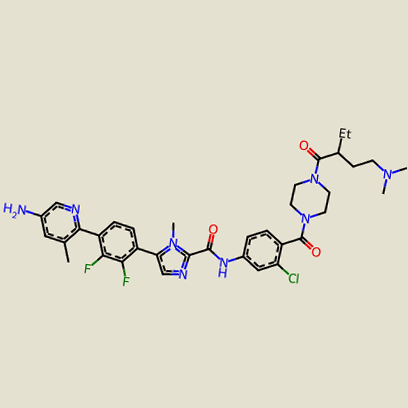 CCC(CCN(C)C)C(=O)N1CCN(C(=O)c2ccc(NC(=O)c3ncc(-c4ccc(-c5ncc(N)cc5C)c(F)c4F)n3C)cc2Cl)CC1